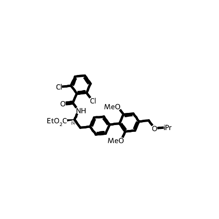 CCOC(=O)[C@H](Cc1ccc(-c2c(OC)cc(COC(C)C)cc2OC)cc1)NC(=O)c1c(Cl)cccc1Cl